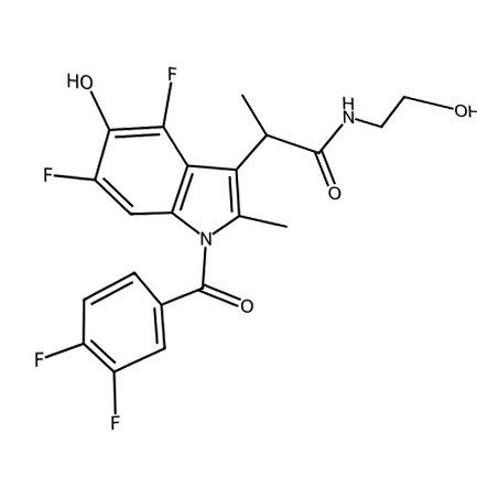 Cc1c(C(C)C(=O)NCCO)c2c(F)c(O)c(F)cc2n1C(=O)c1ccc(F)c(F)c1